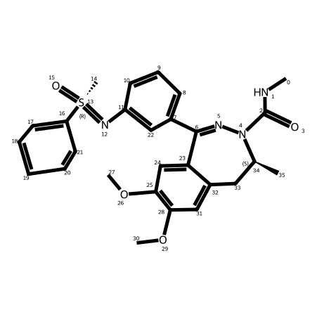 CNC(=O)N1N=C(c2cccc(N=[S@](C)(=O)c3ccccc3)c2)c2cc(OC)c(OC)cc2C[C@@H]1C